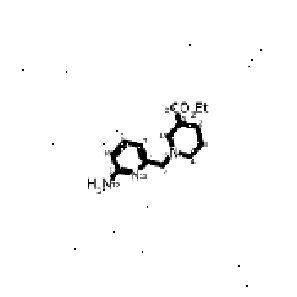 CCOC(=O)C1CCCN(Cc2cccc(N)n2)C1